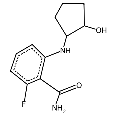 NC(=O)c1c(F)cccc1NC1CCCC1O